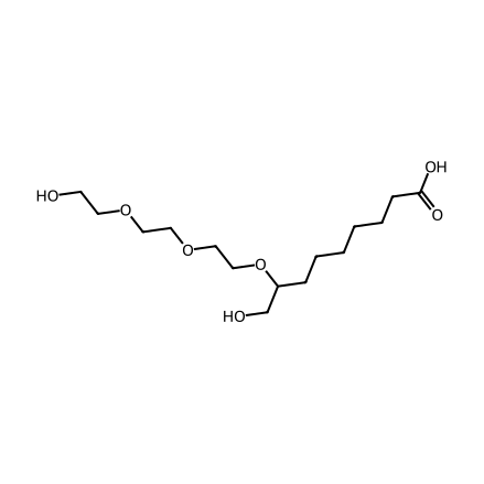 O=C(O)CCCCCCC(CO)OCCOCCOCCO